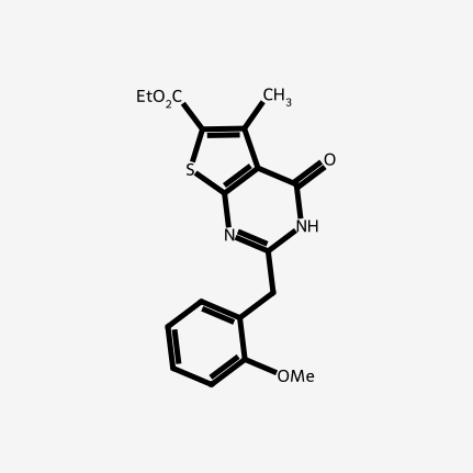 CCOC(=O)c1sc2nc(Cc3ccccc3OC)[nH]c(=O)c2c1C